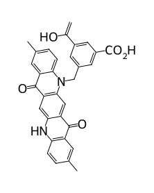 C=C(O)c1cc(Cn2c3ccc(C)cc3c(=O)c3cc4[nH]c5ccc(C)cc5c(=O)c4cc32)cc(C(=O)O)c1